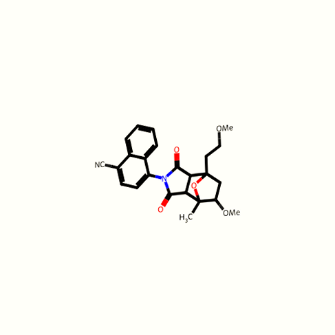 COCCC12CC(OC)C(C)(O1)C1C(=O)N(c3ccc(C#N)c4ccccc34)C(=O)C12